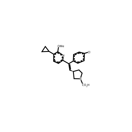 COc1nc(/C(=C/[C@H]2CCN(C(=O)O)C2)c2ccc(Cl)cc2)ccc1C1CC1